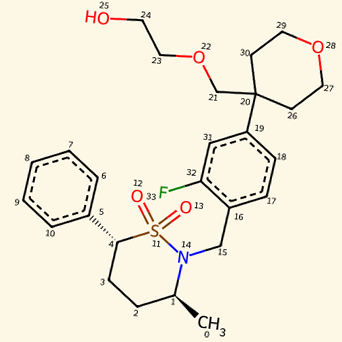 C[C@H]1CC[C@H](c2ccccc2)S(=O)(=O)N1Cc1ccc(C2(COCCO)CCOCC2)cc1F